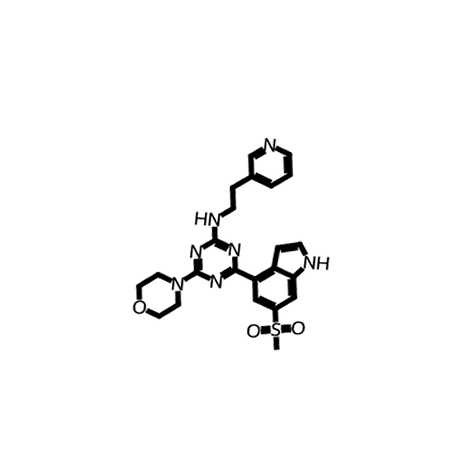 CS(=O)(=O)c1cc(-c2nc(NCCc3cccnc3)nc(N3CCOCC3)n2)c2cc[nH]c2c1